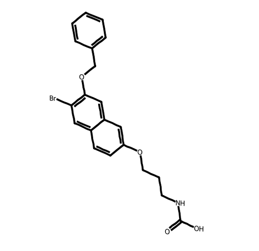 O=C(O)NCCCOc1ccc2cc(Br)c(OCc3ccccc3)cc2c1